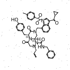 C=CCN1CC(=O)N2[C@@H](Cc3ccc(O)cc3)C(=O)N(Cc3cccc4c(C(=O)C5CC5)cn(S(=O)(=O)c5ccc(C)cc5)c34)C[C@@H]2N1C(=O)NCc1ccccc1